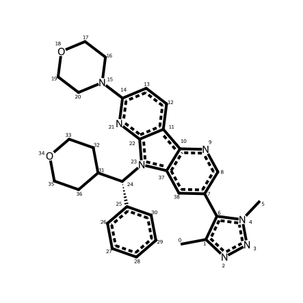 Cc1nnn(C)c1-c1cnc2c3ccc(N4CCOCC4)nc3n([C@H](c3ccccc3)C3CCOCC3)c2c1